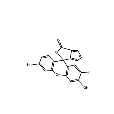 O=C1OC2(c3ccc(O)cc3Oc3cc(O)c(F)cc32)c2ccccc21